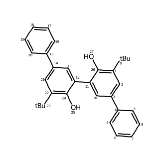 CC(C)(C)c1cc(-c2ccccc2)cc(-c2cc(-c3ccccc3)cc(C(C)(C)C)c2O)c1O